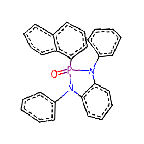 O=P1(c2cccc3ccccc23)N(c2ccccc2)c2ccccc2N1c1ccccc1